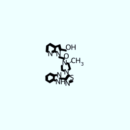 C[C@@H]1CN(c2scnc2-c2nc3ccccc3[nH]2)CCN1C(=O)Cn1c(CO)cc2cccnc21